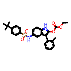 CCOC(=O)Oc1[nH]c2ccc(NS(=O)(=O)c3ccc(C(C)(C)C)cc3)cc2c1-c1ccccc1C